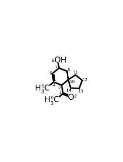 CC(=O)C1C(C)=CC(O)CC12CCCC2